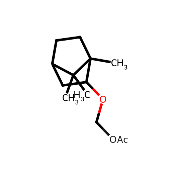 CC(=O)OCOC1CC2CCC1(C)C2(C)C